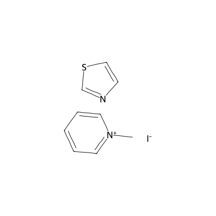 C[n+]1ccccc1.[I-].c1cscn1